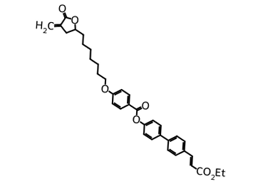 C=C1CC(CCCCCCCOc2ccc(C(=O)Oc3ccc(-c4ccc(/C=C/C(=O)OCC)cc4)cc3)cc2)OC1=O